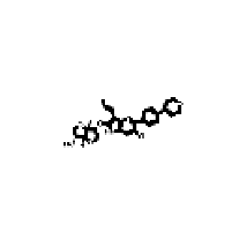 C/N=C/c1c(O[C@@H]2CO[C@H]3[C@@H]2OC[C@H]3O)[nH]c2cc(Cl)c(-c3ccc(C4=CCOCC4)cc3)nc12